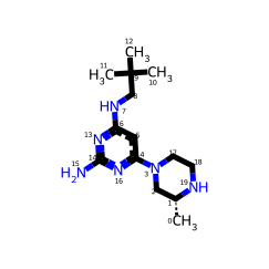 C[C@@H]1CN(c2cc(NCC(C)(C)C)nc(N)n2)CCN1